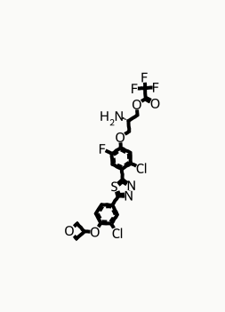 N[C@H](COC(=O)C(F)(F)F)COc1cc(Cl)c(-c2nnc(-c3ccc(OC4COC4)c(Cl)c3)s2)cc1F